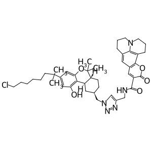 CC(C)(CCCCCCCl)c1cc(O)c2c(c1)OC(C)(C)[C@@H]1CC[C@@H](Cn3cc(CNC(=O)c4cc5cc6c7c(c5oc4=O)CCCN7CCC6)nn3)C[C@@H]21